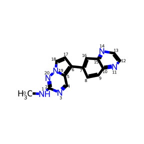 CNc1ncc2c(-c3ccc4nccnc4c3)ccn2n1